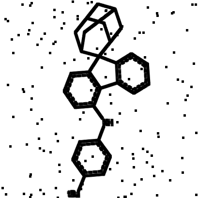 CC(C)(C)c1ccc(Nc2cccc3c2-c2ccccc2C32C3CC4CC(C3)CC2C4)cc1